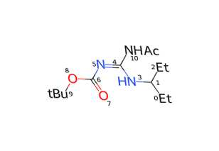 CCC(CC)N/C(=N\C(=O)OC(C)(C)C)NC(C)=O